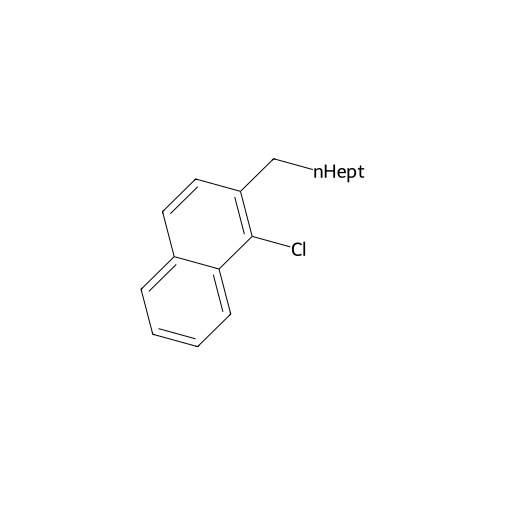 CCCCCCCCc1ccc2ccccc2c1Cl